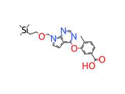 Cc1ccc(C(=O)O)cc1Oc1ncnc2c1ccn2COCC[Si](C)(C)C